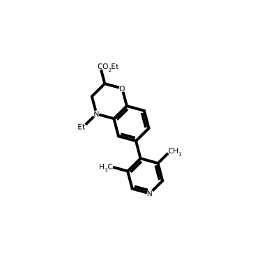 CCOC(=O)C1CN(CC)c2cc(-c3c(C)cncc3C)ccc2O1